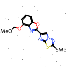 COCOc1cccc2oc(-c3cn4nc(SC)sc4n3)nc12